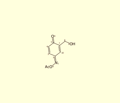 CC(=O)ON=C1C=CC(=O)C(CO)=C1